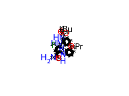 CC(C)Oc1cccc(Nc2nc(N[C@@H]3CCCC[C@@H]3NC(=O)OC(C)(C)C)c(F)cc2C(N)=O)c1